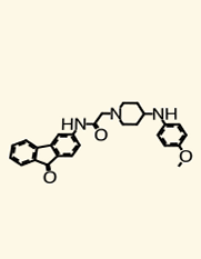 COc1ccc(NC2CCN(CC(=O)Nc3ccc4c(c3)-c3ccccc3C4=O)CC2)cc1